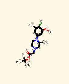 COc1cc(N2CCN(CC(=O)OC(C)(C)C)C[C@@H]2C)cc(C)c1Cl